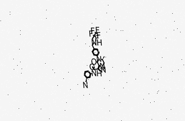 C[C@H]1Cn2ncc(C(=O)Nc3cccc(C#N)c3)c2C(=O)N1c1ccc(CNCC(F)(F)C(F)(F)F)cc1